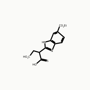 CCOC(=O)c1ccc2nc(C(CC(=O)O)C(O)=S)[nH]c2c1